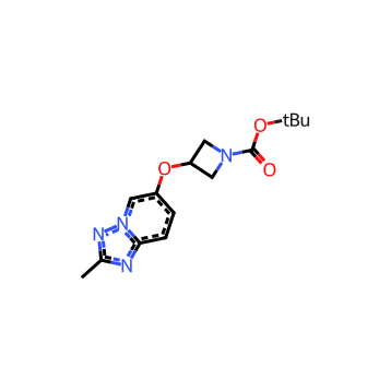 Cc1nc2ccc(OC3CN(C(=O)OC(C)(C)C)C3)cn2n1